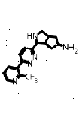 NC1CC2CNC(c3ccc(-c4cccnc4C(F)(F)F)nn3)C2C1